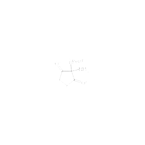 CCCCCC1(N)C(=O)CCC1=O